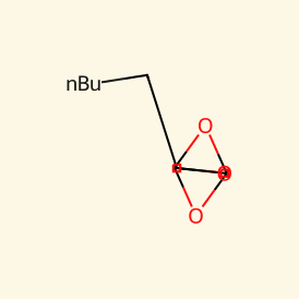 CCCCCC1OC23OC12O3